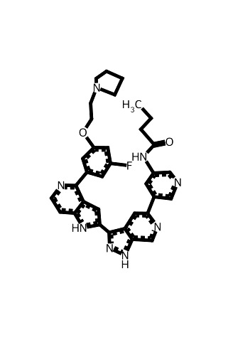 CCCC(=O)Nc1cncc(-c2cc3c(-c4cc5c(-c6cc(F)cc(OCCN7CCCC7)c6)nccc5[nH]4)n[nH]c3cn2)c1